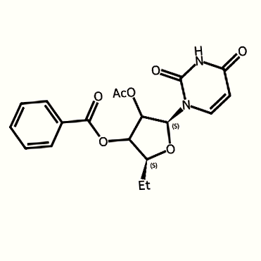 CC[C@@H]1O[C@H](n2ccc(=O)[nH]c2=O)C(OC(C)=O)C1OC(=O)c1ccccc1